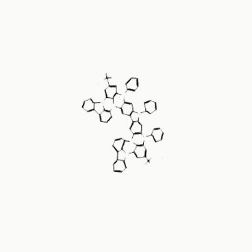 CC(C)(C)c1cc2c3c(c1)-n1c4ccccc4c4cccc(c41)B3c1cc3c4cc5c(cc4n(-c4ccccc4)c3cc1N2c1ccccc1)N(c1ccccc1)c1cc(C(C)(C)C)cc2c1B5c1cccc3c4ccccc4n-2c13